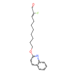 O=CC(F)=CCCCCCCCOc1ccc2ccccc2n1